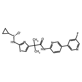 CC(C)(C(=O)Nc1ccc(-c2cncc(F)c2)cn1)c1csc(N[S+]([O-])C2CC2)n1